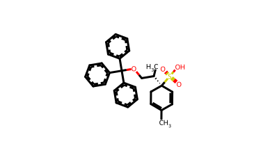 CC1=CC[C@@](C(C)COC(c2ccccc2)(c2ccccc2)c2ccccc2)(S(=O)(=O)O)C=C1